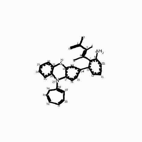 C=C(C)/C(C)=C(\C)c1c(N)cccc1-c1ccc2c(c1)Sc1ccccc1N2C1=CC=CC=CC1